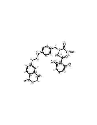 COC(=O)[C@H](Cc1ccc(OCCc2ccc3c(n2)NCCC3C)cc1)NC(=O)c1c(Cl)cccc1Cl